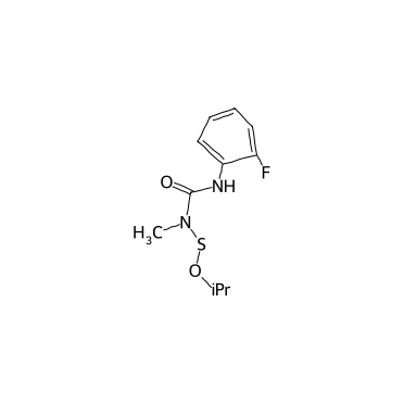 CC(C)OSN(C)C(=O)Nc1ccccc1F